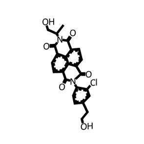 CC(CO)N1C(=O)c2ccc3c4c(ccc(c24)C1=O)C(=O)N(c1ccc(CCO)cc1Cl)C3=O